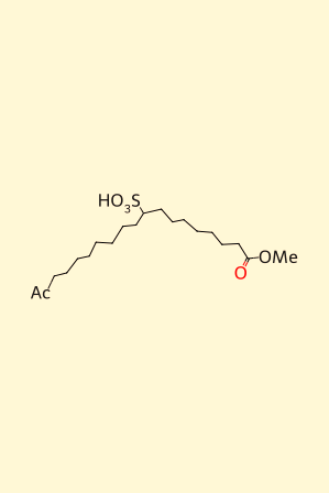 COC(=O)CCCCCCCC(CCCCCCCCC(C)=O)S(=O)(=O)O